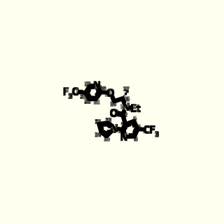 CCN(C(=O)c1cc(C(F)(F)F)cnc1-n1cccc1)[C@@H](C)COc1ccc(C(F)(F)F)cn1